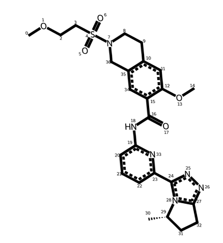 COCCS(=O)(=O)N1CCc2cc(OC)c(C(=O)Nc3cccc(-c4nnc5n4[C@@H](C)CC5)n3)cc2C1